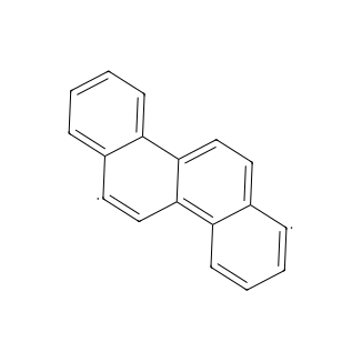 [c]1cccc2c1ccc1c3ccccc3[c]cc21